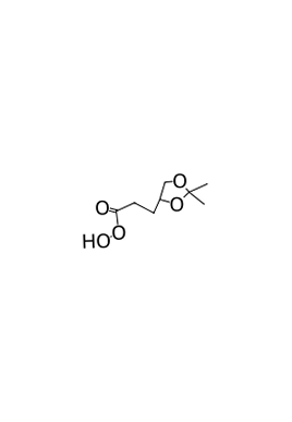 CC1(C)OCC(CCC(=O)OO)O1